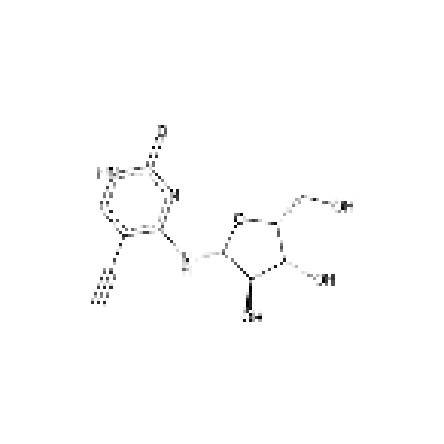 C#Cc1c[nH]c(=O)nc1N[C@@H]1O[C@H](CO)[C@H](O)[C@H]1O